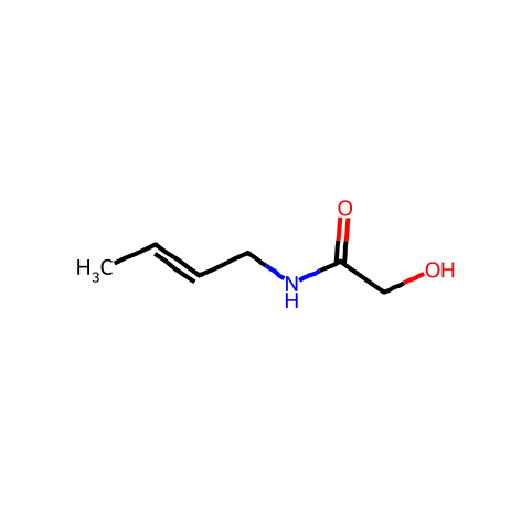 C/C=C/CNC(=O)CO